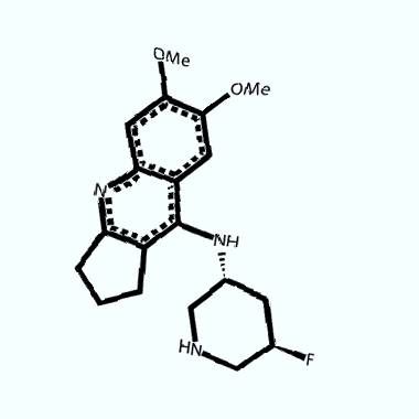 COc1cc2nc3c(c(N[C@H]4CNC[C@H](F)C4)c2cc1OC)CCC3